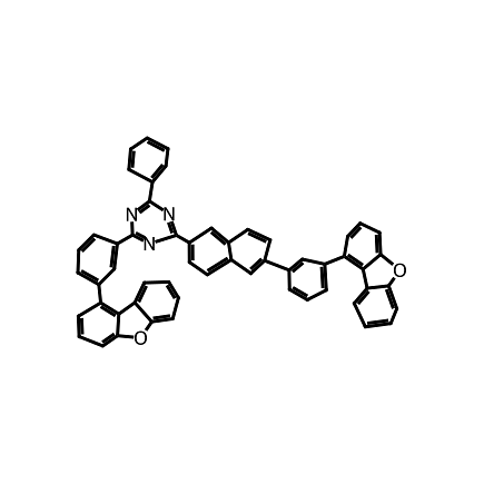 c1ccc(-c2nc(-c3cccc(-c4cccc5oc6ccccc6c45)c3)nc(-c3ccc4cc(-c5cccc(-c6cccc7oc8ccccc8c67)c5)ccc4c3)n2)cc1